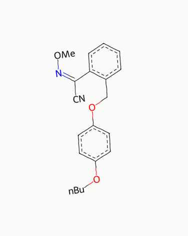 CCCCOc1ccc(OCc2ccccc2/C(C#N)=N\OC)cc1